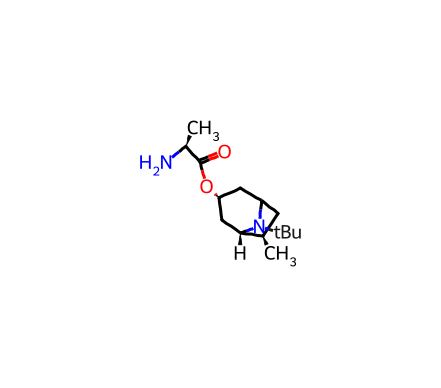 C[C@H](N)C(=O)O[C@@H]1CC2C[C@@H](C)[C@H](C1)N2C(C)(C)C